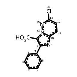 O=C(O)c1c(-c2ccccc2)nc2ccc(Cl)nn12